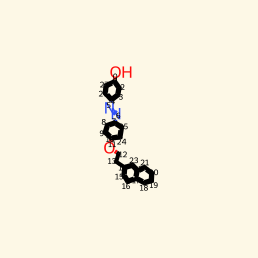 Oc1ccc(/N=N/c2ccc(OCCc3ccc4ccccc4c3)cc2)cc1